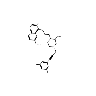 COc1ccc2ncc(Cl)c([C@H](O)CCC3CCN(CC#Cc4cc(F)cc(F)c4)CC3CC(=O)O)c2c1